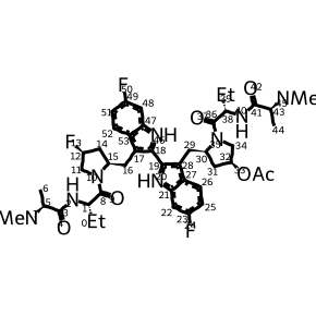 CC[C@H](NC(=O)[C@H](C)NC)C(=O)N1C[C@@H](F)C[C@H]1Cc1c(-c2[nH]c3cc(F)ccc3c2C[C@@H]2C[C@H](OC(C)=O)CN2C(=O)[C@H](CC)NC(=O)[C@H](C)NC)[nH]c2cc(F)ccc12